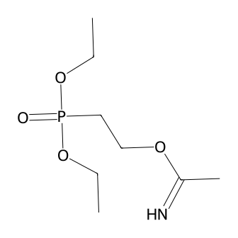 CCOP(=O)(CCOC(C)=N)OCC